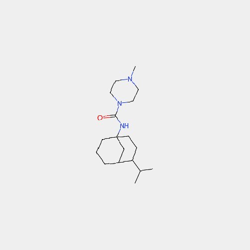 CC(C)C1CCC2(NC(=O)N3CCN(C)CC3)CCCC1C2